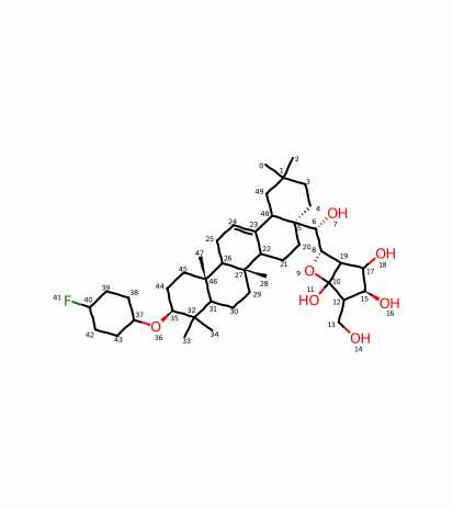 CC1(C)CC[C@]2([C@H](O)[C@H]3OC4(O)C(CO)[C@H](O)C(O)C34)CCC3C(=CCC4[C@@]3(C)CCC3C(C)(C)[C@@H](OC5CCC(F)CC5)CC[C@@]34C)C2C1